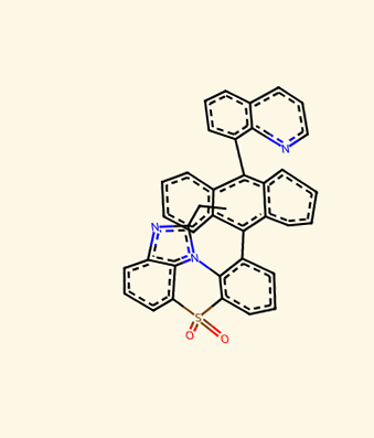 CCc1nc2cccc3c2n1-c1c(-c2c4ccccc4c(-c4cccc5cccnc45)c4ccccc24)cccc1S3(=O)=O